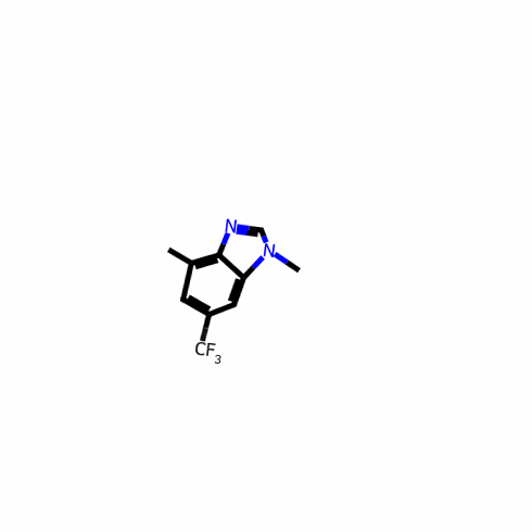 Cc1cc(C(F)(F)F)cc2c1ncn2C